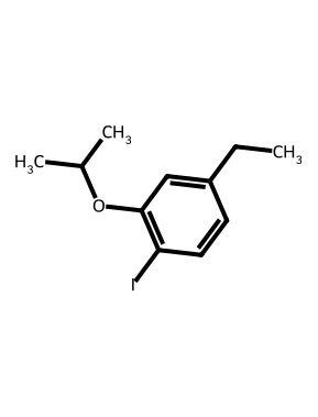 CCc1ccc(I)c(OC(C)C)c1